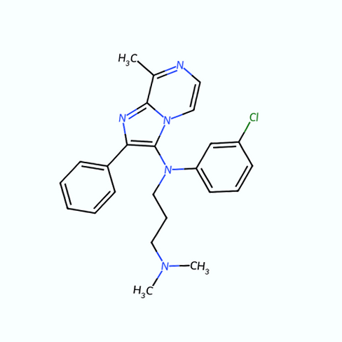 Cc1nccn2c(N(CCCN(C)C)c3cccc(Cl)c3)c(-c3ccccc3)nc12